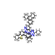 c1ccc(-c2nc(-c3ccccc3)nc(-c3cc(-c4ccc(-c5ccccc5)c(-c5ccccc5)c4)cnc3-n3c4ccccc4c4c5sc6ccccc6c5ccc43)n2)cc1